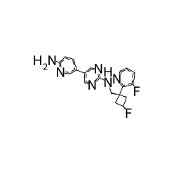 Nc1ccc(-c2cnc(NC[C@]3(c4ncccc4F)C[C@H](F)C3)nc2)cn1